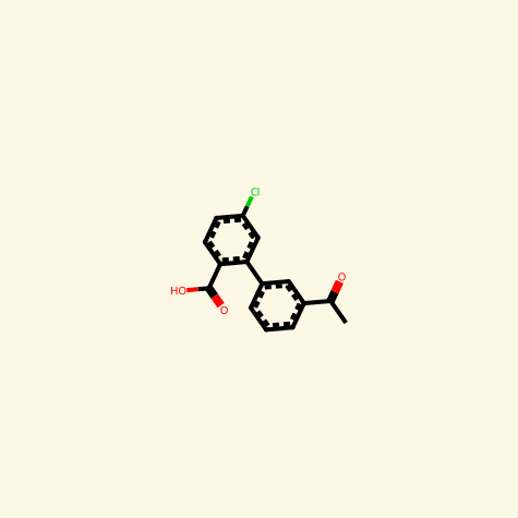 CC(=O)c1cccc(-c2cc(Cl)ccc2C(=O)O)c1